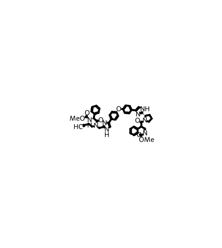 C#CCCN(Cc1nc(-c2ccc(Oc3ccc(-c4c[nH]c([C@@H]5CCCN5C(=O)C(/C=N\C(=O)OC)c5ccccc5)n4)cc3)cc2)c[nH]1)C(=O)[C@H](NC(=O)OC)c1ccccc1